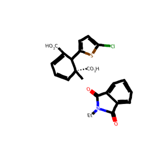 CCN1C(=O)c2ccccc2C1=O.C[C@@]1(C(=O)O)C=CC=C(C(=O)O)C1c1ccc(Cl)s1